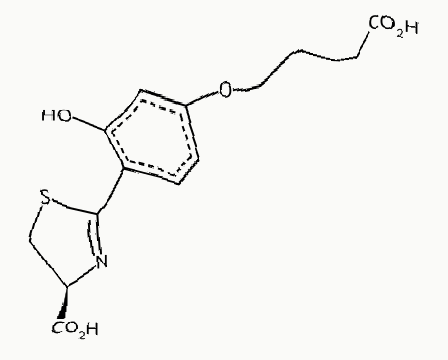 O=C(O)CCCOc1ccc(C2=N[C@@H](C(=O)O)CS2)c(O)c1